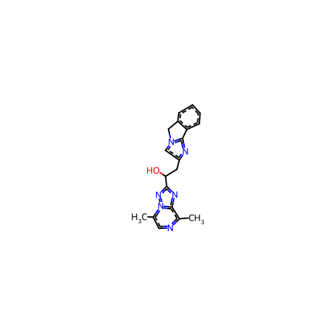 Cc1ncc(C)n2nc(C(O)Cc3cn4c(n3)-c3ccccc3C4)nc12